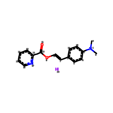 CN(C)c1ccc(C=COC(=O)c2ccccn2)cc1.I